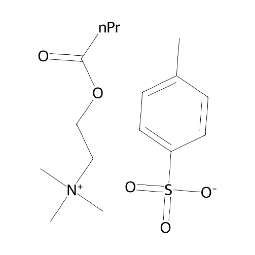 CCCC(=O)OCC[N+](C)(C)C.Cc1ccc(S(=O)(=O)[O-])cc1